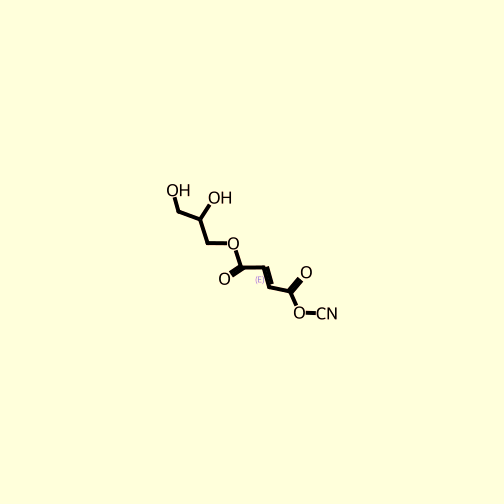 N#COC(=O)/C=C/C(=O)OCC(O)CO